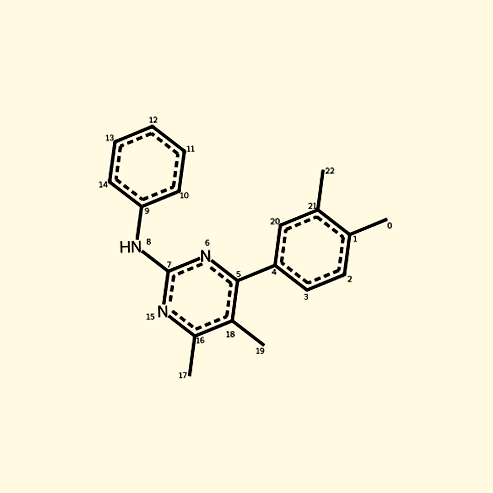 Cc1ccc(-c2nc(Nc3ccccc3)nc(C)c2C)cc1C